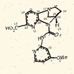 COc1ccnc(NC(=O)N2c3nc(C(=O)O)ccc3N3CC[C@H]2C3)c1